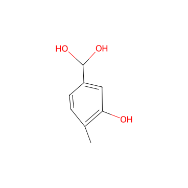 Cc1ccc(C(O)O)cc1O